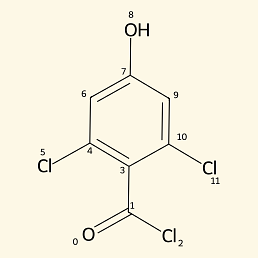 O=C(Cl)c1c(Cl)cc(O)cc1Cl